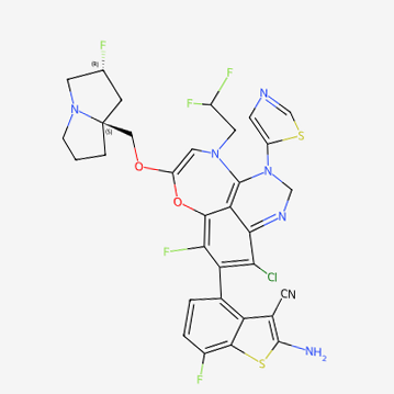 N#Cc1c(N)sc2c(F)ccc(-c3c(F)c4c5c(c3Cl)=NCN(c3cncs3)C=5N(CC(F)F)C=C(OC[C@@]35CCCN3C[C@H](F)C5)O4)c12